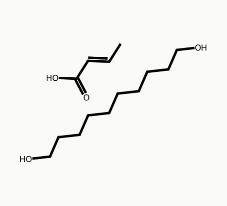 CC=CC(=O)O.OCCCCCCCCCCO